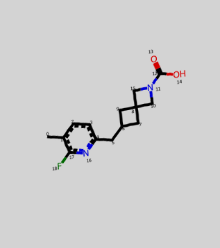 Cc1ccc(CC2CC3(C2)CN(C(=O)O)C3)nc1F